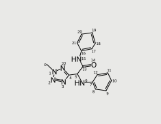 Cn1nnc(C(Nc2ccccc2)C(=O)Nc2ccccc2)n1